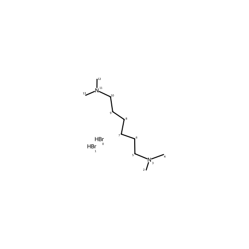 Br.Br.CN(C)CCCCCCN(C)C